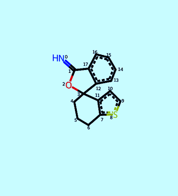 N=C1OC2(CCCc3sccc32)c2ccccc21